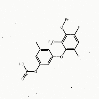 CCOc1c(F)cc(F)c(Oc2cc(C)cc(O[PH](=O)O)c2)c1C(F)(F)F